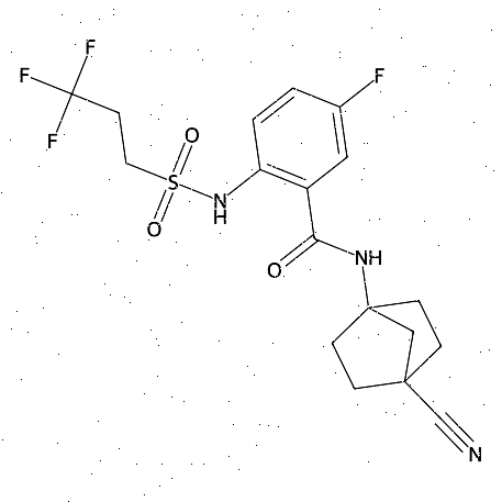 N#CC12CCC(NC(=O)c3cc(F)ccc3NS(=O)(=O)CCC(F)(F)F)(CC1)C2